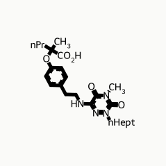 CCCCCCCn1nc(NCCc2ccc(OC(C)(CCC)C(=O)O)cc2)c(=O)n(C)c1=O